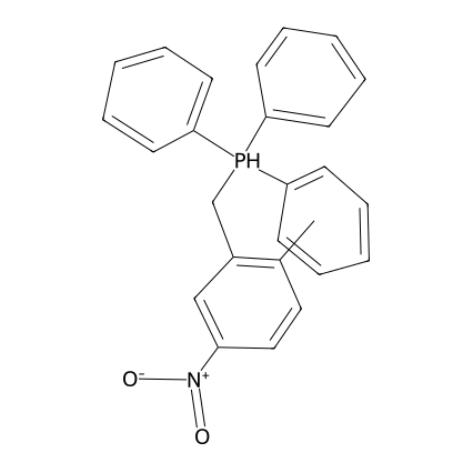 Cc1ccc([N+](=O)[O-])cc1C[PH](c1ccccc1)(c1ccccc1)c1ccccc1